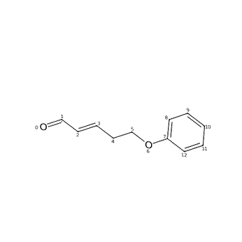 O=[C]C=CCCOc1ccccc1